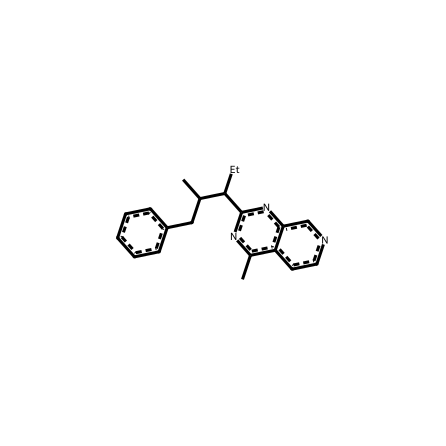 CCC(c1nc(C)c2ccncc2n1)C(C)Cc1ccccc1